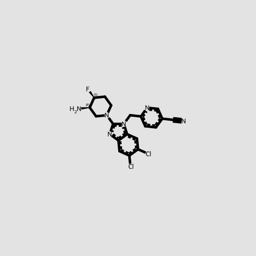 N#Cc1ccc(Cn2c(N3CC[C@H](F)[C@H](N)C3)nc3cc(Cl)c(Cl)cc32)nc1